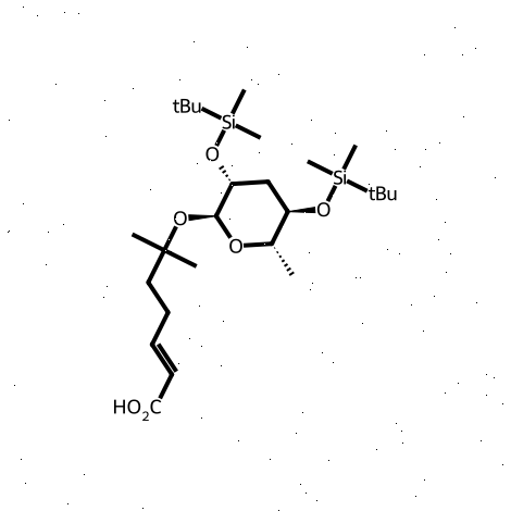 C[C@@H]1O[C@@H](OC(C)(C)CCC=CC(=O)O)[C@H](O[Si](C)(C)C(C)(C)C)C[C@H]1O[Si](C)(C)C(C)(C)C